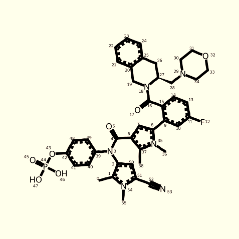 Cc1c(N(C(=O)c2cc(-c3cc(F)ccc3C(=O)N3Cc4ccccc4C[C@H]3CN3CCOCC3)n(C)c2C)c2ccc(OP(=O)(O)O)cc2)cc(C#N)n1C